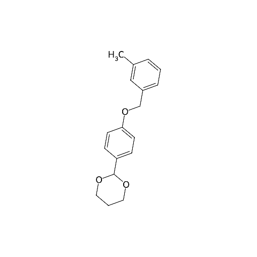 Cc1cccc(COc2ccc(C3OCCCO3)cc2)c1